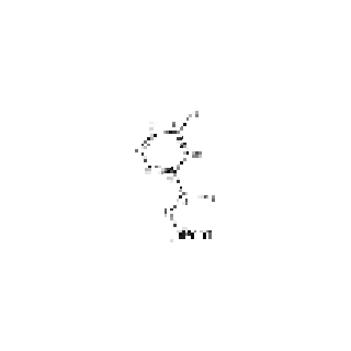 CCCCCCC(F)c1cccc(C)c1